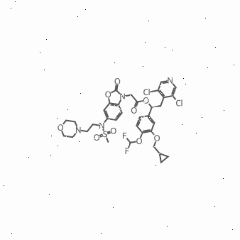 CS(=O)(=O)N(CCN1CCOCC1)c1ccc2c(c1)oc(=O)n2CC(=O)O[C@@H](Cc1c(Cl)cncc1Cl)c1ccc(OC(F)F)c(OCC2CC2)c1